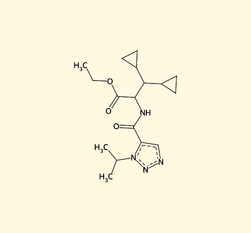 CCOC(=O)C(NC(=O)c1cnnn1C(C)C)C(C1CC1)C1CC1